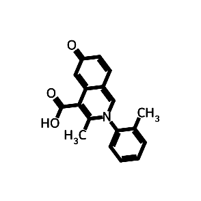 Cc1ccccc1-n1cc2ccc(=O)cc-2c(C(=O)O)c1C